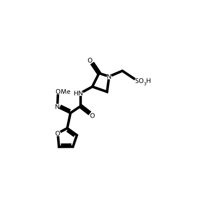 CON=C(C(=O)NC1CN(CS(=O)(=O)O)C1=O)c1ccco1